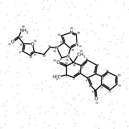 CC1C=c2c(ccc3c2=CC(=O)c2ccccc2-3)C(C)(N2CN(CCc3ccc(C(N)=O)o3)c3cncnc32)C1=O